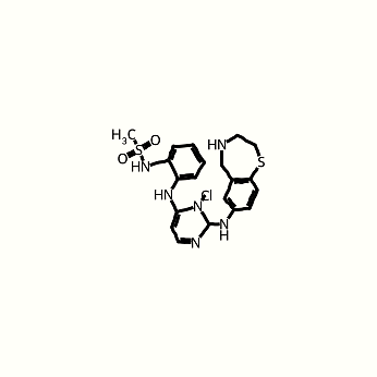 CS(=O)(=O)Nc1ccccc1NC1=CC=NC(Nc2ccc3c(c2)CNCCS3)N1Cl